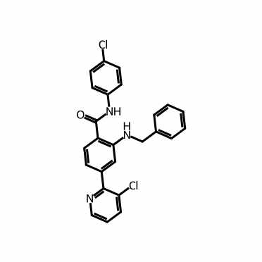 O=C(Nc1ccc(Cl)cc1)c1ccc(-c2ncccc2Cl)cc1NCc1ccccc1